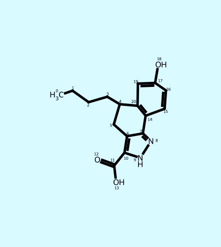 CCCCC1Cc2c(n[nH]c2C(=O)O)-c2ccc(O)cc21